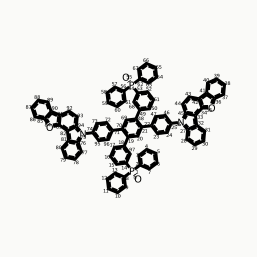 O=P(c1ccccc1)(c1ccccc1)c1cccc(-c2cc(-c3ccc(-n4c5ccccc5c5c6oc7ccccc7c6ccc54)cc3)c(-c3cccc(P(=O)(c4ccccc4)c4ccccc4)c3)cc2-c2ccc(-n3c4ccccc4c4c5oc6ccccc6c5ccc43)cc2)c1